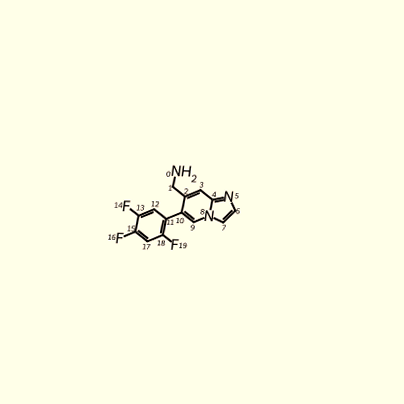 NCc1cc2nccn2cc1-c1cc(F)c(F)cc1F